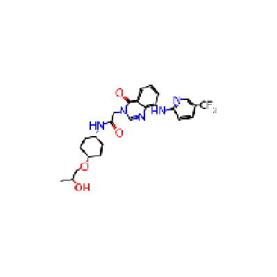 CC(O)CO[C@H]1CC[C@H](NC(=O)Cn2cnc3c(Nc4ccc(C(F)(F)F)cn4)cccc3c2=O)CC1